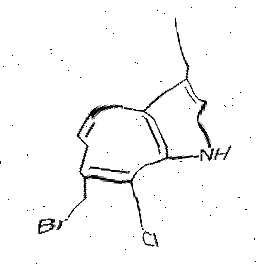 Clc1c(Br)ccc2c(I)c[nH]c12